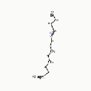 CCCCCCCCCOCOCC/C=C/CCBr